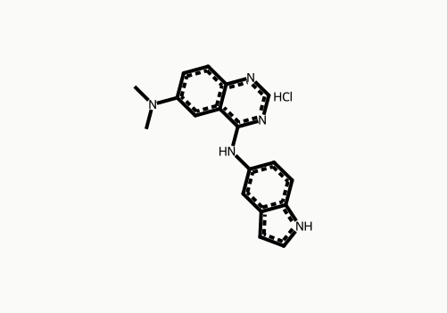 CN(C)c1ccc2ncnc(Nc3ccc4[nH]ccc4c3)c2c1.Cl